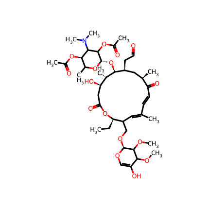 CC[C@H]1OC(=O)C[C@@H](O)[C@H](C)[C@@H](O[C@@H]2OC(C)[C@@H](OC(C)=O)C(N(C)C)C2OC(C)=O)[C@@H](CC=O)C[C@@H](C)C(=O)/C=C/C(C)=C/C1CO[C@@H]1OC=C(O)C(OC)C1OC